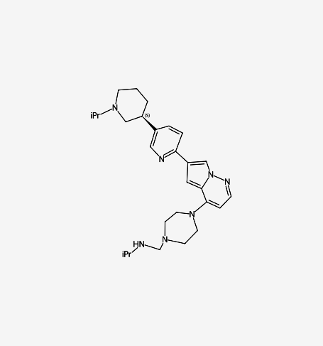 CC(C)NCN1CCN(c2ccnn3cc(-c4ccc([C@@H]5CCCN(C(C)C)C5)cn4)cc23)CC1